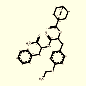 CCOc1ccc(CC(NC(=O)C23CCC(CC2)CC3)C(=O)NC(Cc2ccccc2)C(C)=O)cc1